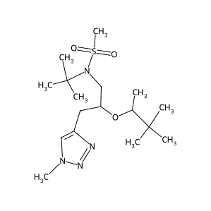 CC(OC(Cc1cn(C)nn1)CN(C(C)(C)C)S(C)(=O)=O)C(C)(C)C